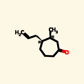 C=CC[C@H]1CCCC(=O)C[C@@H]1C